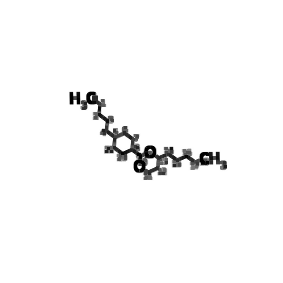 CCCCCC1CCC(C2OCCC(CCCCC)O2)CC1